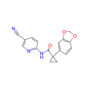 N#Cc1ccc(NC(=O)C2(c3ccc4c(c3)OCO4)CC2)nc1